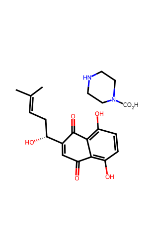 CC(C)=CC[C@@H](O)C1=CC(=O)c2c(O)ccc(O)c2C1=O.O=C(O)N1CCNCC1